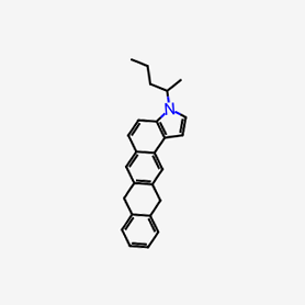 CCCC(C)n1ccc2c3cc4c(cc3ccc21)Cc1ccccc1C4